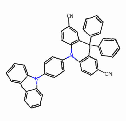 N#Cc1ccc2c(c1)C(c1ccccc1)(c1ccccc1)c1cc(C#N)ccc1N2c1ccc(-n2c3ccccc3c3ccccc32)cc1